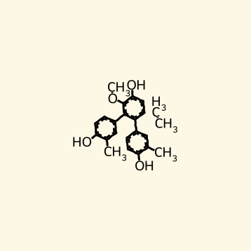 CC.COc1c(O)ccc(-c2ccc(O)c(C)c2)c1-c1ccc(O)c(C)c1